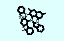 Cc1cc2cc(C)c3c4c2c(c1)n1c2ccccc2cc1n4-c1c(ccc2oc4ccccc4c12)B3c1ccccc1C(C)(C)C